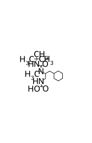 CN(C(=O)NC(C)(C)C)C(CNC(=O)O)CC1CCCCC1